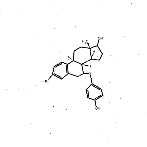 C[C@]12CC[C@@H]3c4ccc(O)cc4CC(Sc4ccc(O)cc4)[C@H]3[C@@H]1CCC2O